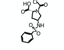 O=C(O)[C@H]1C[C@H](NS(=O)(=O)c2ccccc2)CN1C(=O)Cl